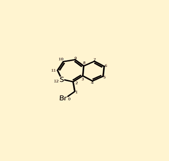 BrCC1=c2ccccc2=CC=CS1